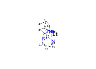 CCN1CC2CC(C1)C2Nc1ncccn1